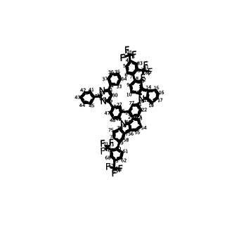 FC(F)(F)c1ccc(-c2ccc3c(c2)c2ccccc2n3-c2cccc(-c3cc(-c4cc(-c5ccccc5)nc(-c5ccccc5)n4)ccc3-n3c4ccccc4c4cc(-c5ccc(C(F)(F)F)cc5C(F)(F)F)ccc43)c2)c(C(F)(F)F)c1